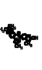 Cc1cc(O)nc2ccc(NC(=O)c3cc(S(=O)(=O)N(C)C)ccc3N3CCC(C)C3)cc12